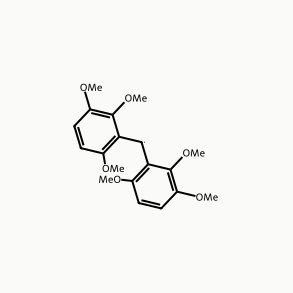 COc1ccc(OC)c(OC)c1[CH]c1c(OC)ccc(OC)c1OC